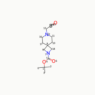 CC(C)(C)OC(=O)N1CC2(CCN(CB=O)CC2)C1